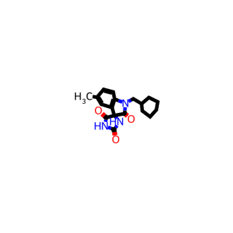 Cc1ccc2c(c1)C1(NC(=O)NC1=O)C(=O)N2CC1CCCCC1